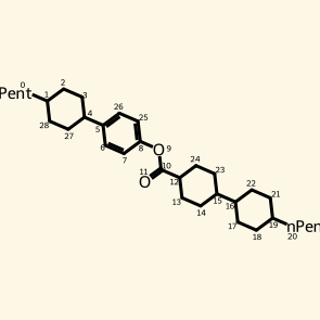 CCCCCC1CCC(c2ccc(OC(=O)C3CCC(C4CCC(CCCCC)CC4)CC3)cc2)CC1